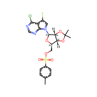 Cc1ccc(S(=O)(=O)OC[C@H]2O[C@@H](n3cc(F)c4c(Cl)ncnc43)[C@@H]3OC(C)(C)O[C@@H]32)cc1